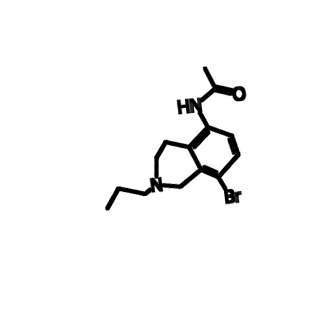 CCCN1CCc2c(NC(C)=O)ccc(Br)c2C1